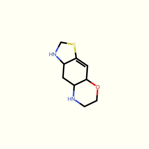 C1=C2SCNC2CC2NCCOC12